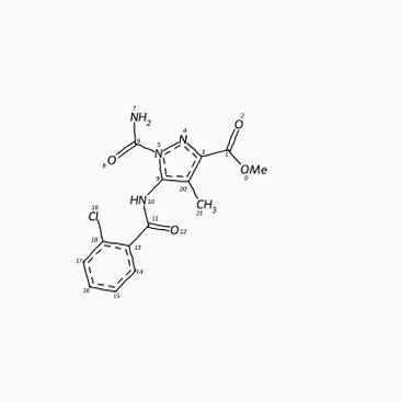 COC(=O)c1nn(C(N)=O)c(NC(=O)c2ccccc2Cl)c1C